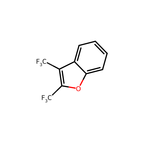 FC(F)(F)c1oc2ccccc2c1C(F)(F)F